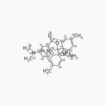 CC1=CC(N)C(C)(C2(C3(C)C=CC(C)=CC3N)OC(=O)c3cc(N(C)C)ccc32)C=C1